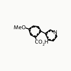 COc1ccc(-c2cccnc2)c(C(=O)O)c1